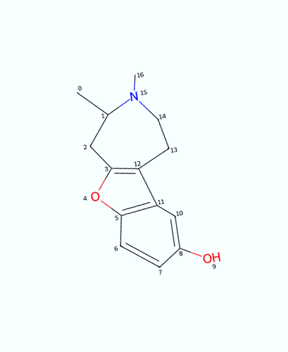 CC1Cc2oc3ccc(O)cc3c2CCN1C